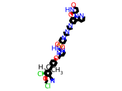 CC(C)(c1ccc(OCc2ccnc(NS(=O)(=O)C3CCN(C4CN(C5CN(c6ccc7c(c6)c6cccnc6n7C6CCC(=O)NC6=O)C5)C4)CC3)n2)cc1)c1cc(Cl)c(OCCCl)c(C#N)c1